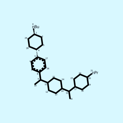 CCCC[C@H]1CC[C@H](c2ccc(C(C)C3CCC(C(C)C4CCC(CCC)CC4)CC3)cc2)CC1